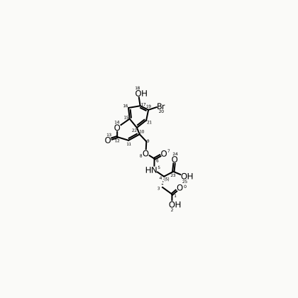 O=C(O)C[C@H](NC(=O)OCc1cc(=O)oc2cc(O)c(Br)cc12)C(=O)O